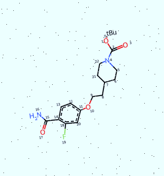 CC(C)(C)OC(=O)N1CCC(CCOc2ccc(C(N)=O)c(F)c2)CC1